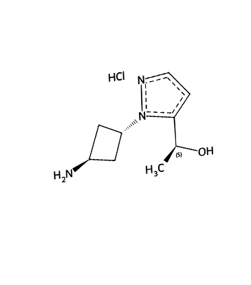 C[C@H](O)c1ccnn1[C@H]1C[C@H](N)C1.Cl